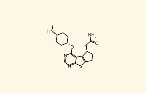 CN[C@H]1CC[C@H](Oc2ncnc3sc4c(c23)[C@@H](CC(N)=O)CC4)CC1